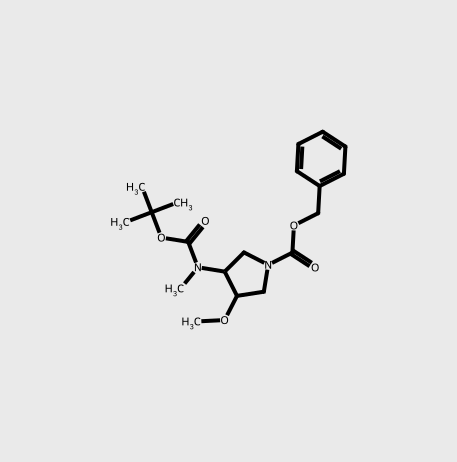 COC1CN(C(=O)OCc2ccccc2)CC1N(C)C(=O)OC(C)(C)C